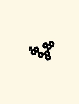 Fc1cccc2c(-c3cccc(-c4cc(-c5cc6ccccc6c6ccccc56)cc5ccccc45)c3)cccc12